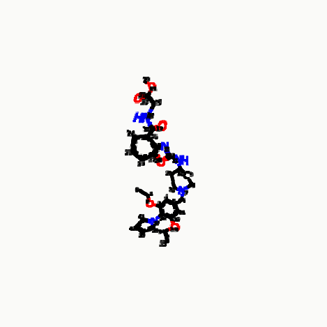 CCOc1cc(CN2CCC(Nc3nc4c(C(=O)NCC(=O)OC)cccc4o3)CC2)cc(OCC)c1-n1cccc1